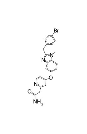 Cn1c(Cc2ccc(Br)cc2)nc2cc(Oc3ccnc(CC(N)=O)c3)ccc21